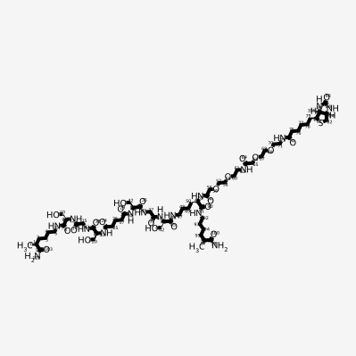 C[C@@H](CCCCNC(=O)[C@H](CO)NC(=O)CNC(=O)[C@H](CO)NC(=O)CCCC(=O)N[C@@H](CO)C(=O)NCC(=O)N[C@@H](CO)C(=O)NCCCC[C@H](NC(=O)COCCOCCNC(=O)COCCOCCNC(=O)CCCCC[C@@H]1SC[C@@H]2NC(=O)N[C@@H]21)C(=O)NCCCC[C@H](C)C(N)=O)C(N)=O